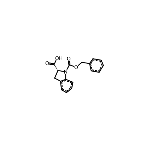 O=C(O)[C@H]1Cc2ccccc2N1C(=O)OCc1ccccc1